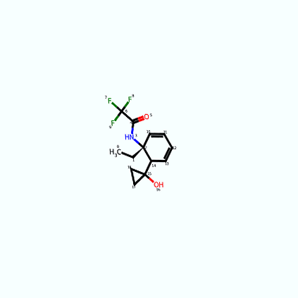 CC[C@@]1(NC(=O)C(F)(F)F)C=CC=CC1C1(O)CC1